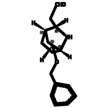 O=CC[C@@H]1N[C@H]2CC[C@@H]1C[C@@H]2OCc1ccccc1